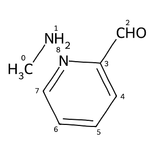 CN.O=Cc1ccccn1